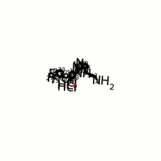 Cl.Cl.NCC#CCn1ccc2ncnc(Nc3ccc(Oc4cccc(C(F)(F)F)c4)c(Cl)c3)c21